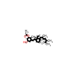 C=C1/C(=C\C=C2/CCC[C@]3(C)[C@@H]([C@H](C)/C=C/[C@H](C)C(C)C)CC[C@@H]23)C[C@@H](O)C[C@@H]1OC(C)=O